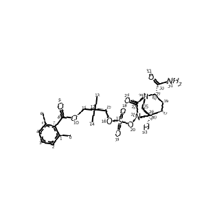 Cc1cccc(C)c1C(=O)OCC(C)(C)COS(=O)(=O)ON1C(=O)N2C[C@H]1CC[C@H]2C(N)=O